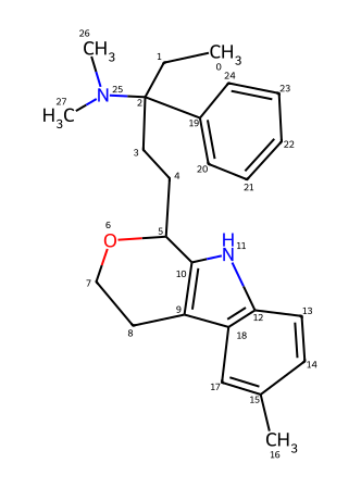 CCC(CCC1OCCc2c1[nH]c1ccc(C)cc21)(c1ccccc1)N(C)C